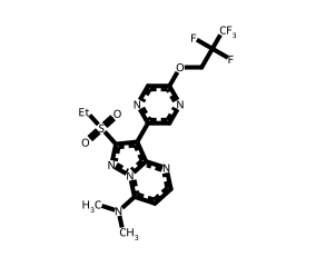 CCS(=O)(=O)c1nn2c(N(C)C)ccnc2c1-c1cnc(OCC(F)(F)C(F)(F)F)cn1